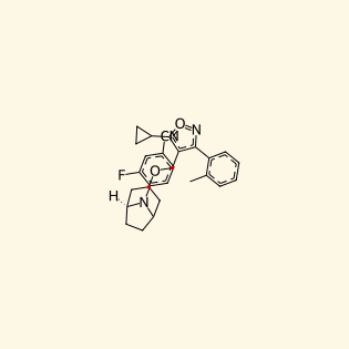 Cc1ccccc1-c1noc(C2CC2)c1COC1CC2CC[C@@H](C1)N2c1ccc(C#N)cc1F